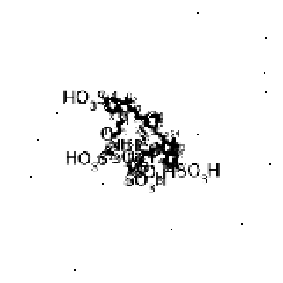 CC1(C)c2cc(S(=O)(=O)O)ccc2N(CCCC(=O)NCC(S(=O)(=O)O)S(=O)(=O)O)C1CCC1=C(SCCC(=O)O)C(CCC2N(CCCC(=O)NCC(S(=O)(=O)O)S(=O)(=O)O)c3ccc(S(=O)(=O)O)cc3C2(C)C)CCC1